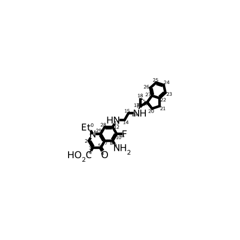 CCn1cc(C(=O)O)c(=O)c2c(N)c(F)c(NCCN[C@@H]3C[C@]34CCc3ccccc34)cc21